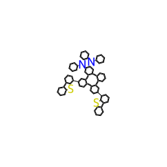 c1ccc(-n2c3ccccc3n(-c3ccccc3)c3cc4c5cc(-c6cccc7c6sc6ccccc67)ccc5c5ccc(-c6cccc7c6sc6ccccc67)cc5c5ccccc5c4cc32)cc1